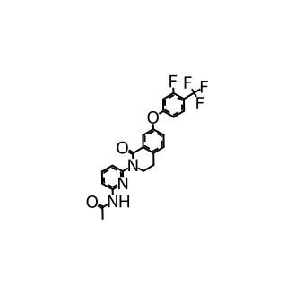 CC(=O)Nc1cccc(N2CCc3ccc(Oc4ccc(C(F)(F)F)c(F)c4)cc3C2=O)n1